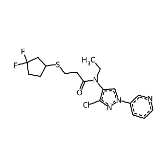 CCN(C(=O)CCSC1CCC(F)(F)C1)c1cn(-c2cccnc2)nc1Cl